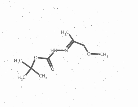 COCC(C)=NNC(=O)OC(C)(C)C